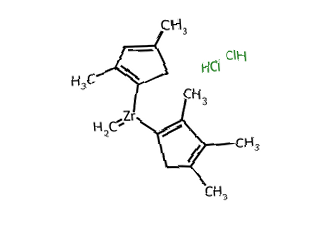 Cl.Cl.[CH2]=[Zr]([C]1=C(C)C=C(C)C1)[C]1=C(C)C(C)=C(C)C1